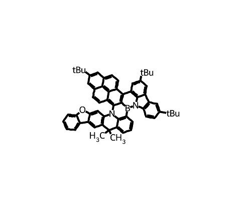 CC(C)(C)c1cc2ccc3c4c5c(c6ccc(c1)c2c36)N1c2cc3oc6ccccc6c3cc2C(C)(C)c2cccc(c21)B5n1c2ccc(C(C)(C)C)cc2c2cc(C(C)(C)C)cc-4c21